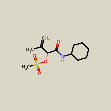 C=C(C)[C@@H](OS(C)(=O)=O)C(=O)NC1CCCCC1